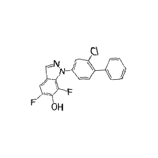 Oc1c(F)cc2cnn(-c3ccc(-c4ccccc4)c(Cl)c3)c2c1F